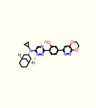 Oc1cc(-c2cc3c(nn2)OCCO3)ccc1-c1ncc(N(C2CC2)[C@H]2C[C@@H]3CCC[C@@H](C3)[C@H]2F)nn1